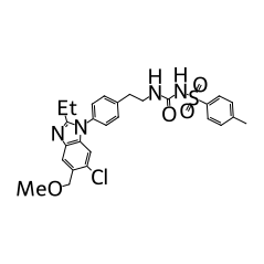 CCc1nc2cc(COC)c(Cl)cc2n1-c1ccc(CCNC(=O)NS(=O)(=O)c2ccc(C)cc2)cc1